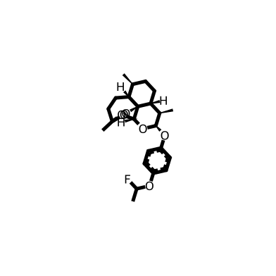 CC(F)Oc1ccc(O[C@H]2O[C@@H]3OC4(C)CC[C@@H]5[C@@H](C)CC[C@H]([C@H]2C)[C@]35OO4)cc1